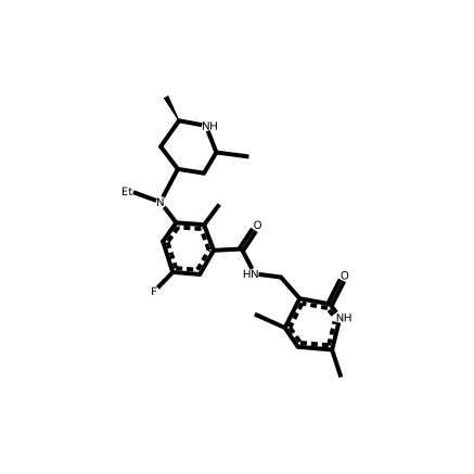 CCN(c1cc(F)cc(C(=O)NCc2c(C)cc(C)[nH]c2=O)c1C)C1CC(C)N[C@H](C)C1